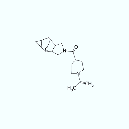 C=C(C)N1CCC(C(=O)N2CC3C4CCC(C5CC45)C3C2)CC1